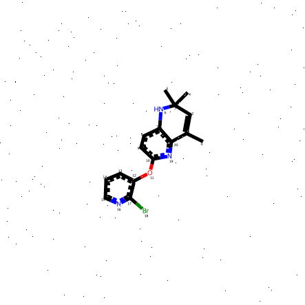 CC1=CC(C)(C)Nc2ccc(Oc3cccnc3Br)nc21